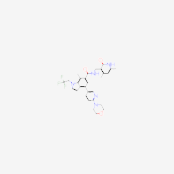 Cc1cc(C)c(CNC(=O)c2cc(-c3ccc(N4CCOCC4)nc3)c3ccn(CC(F)(F)F)c3c2C)c(=O)[nH]1